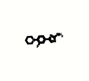 Nc1nc(-c2ccc(N3CCCCC3)c(F)c2)cs1